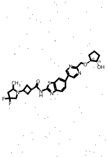 CC1CC(F)(F)CN1C1CC(C(=O)Nc2nc3ccc(-c4cnc(CO[C@H]5CCC[C@@H]5O)nc4)cc3s2)C1